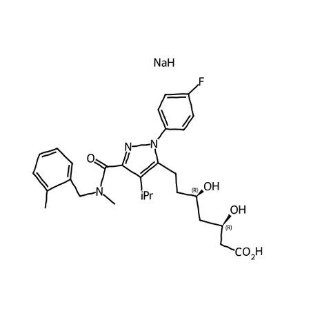 Cc1ccccc1CN(C)C(=O)c1nn(-c2ccc(F)cc2)c(CC[C@@H](O)C[C@@H](O)CC(=O)O)c1C(C)C.[NaH]